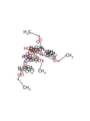 CCCCCC/C=C\COC(=O)CCCCCC(CN(CCCCOC(=O)CC(C)(O)CC(=O)OCCCCN(CC(CCCCCC(=O)OC/C=C\CCCCCC)O[Si](C)(C)C(C)(C)C)CC(CCCCCC(=O)OC/C=C\CCCCCC)O[Si](C)(C)C(C)(C)C)CC(CCCCCC(=O)OC/C=C\CCCCCC)O[Si](C)(C)C(C)(C)C)O[Si](C)(C)C(C)(C)C